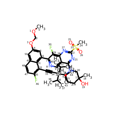 COCOc1cc(-c2nc(C)c3c(N4CCCC(C)(O)C4)nc(S(C)(=O)=O)nc3c2F)c2c(C#C[Si](C(C)C)(C(C)C)C(C)C)c(F)ccc2c1